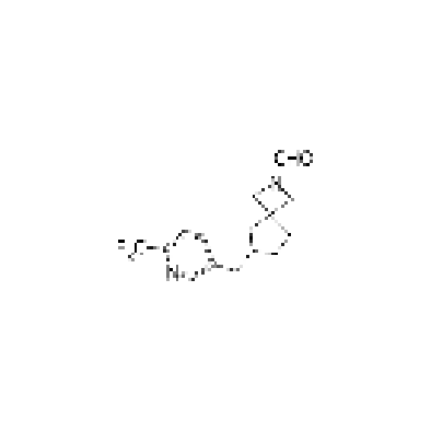 O=CN1CC2(CCC(Cc3ccc(C(F)(F)F)nc3)C2)C1